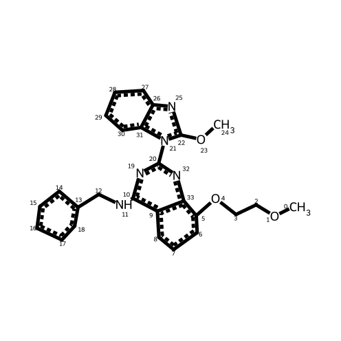 COCCOc1cccc2c(NCc3ccccc3)nc(-n3c(OC)nc4ccccc43)nc12